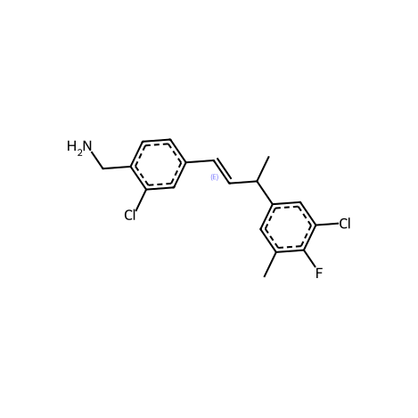 Cc1cc(C(C)/C=C/c2ccc(CN)c(Cl)c2)cc(Cl)c1F